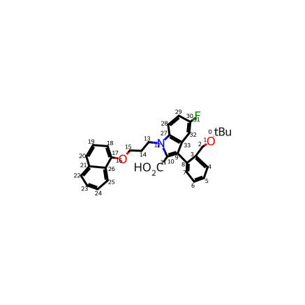 CC(C)(C)OCc1ccccc1-c1c(C(=O)O)n(CCCOc2cccc3ccccc23)c2ccc(F)cc12